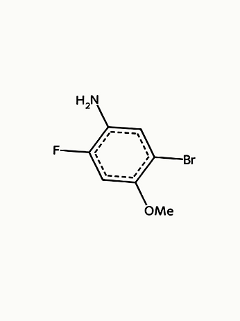 COc1cc(F)c(N)cc1Br